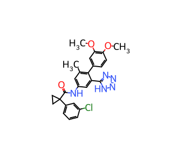 COc1ccc(-c2c(C)cc(NC(=O)C3(c4cccc(Cl)c4)CC3)cc2-c2nnn[nH]2)cc1OC